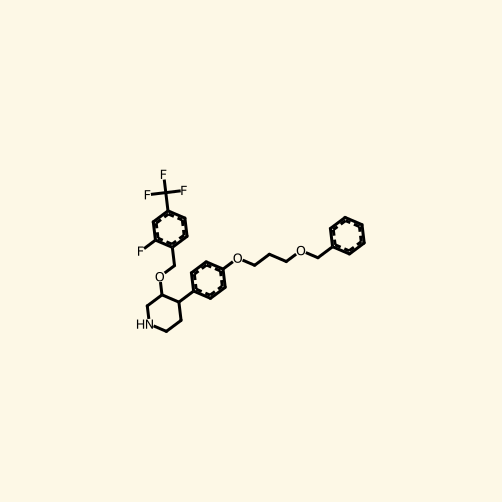 Fc1cc(C(F)(F)F)ccc1COC1CNCCC1c1ccc(OCCCOCc2ccccc2)cc1